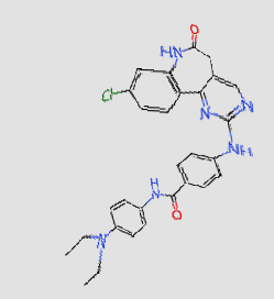 CCN(CC)c1ccc(NC(=O)c2ccc(Nc3ncc4c(n3)-c3ccc(Cl)cc3NC(=O)C4)cc2)cc1